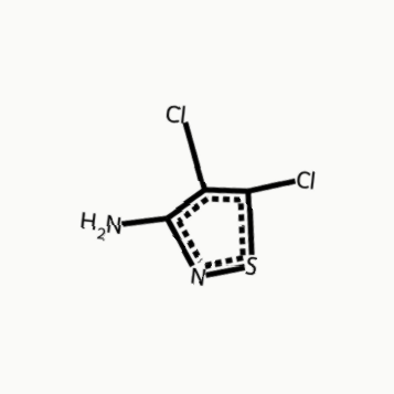 Nc1nsc(Cl)c1Cl